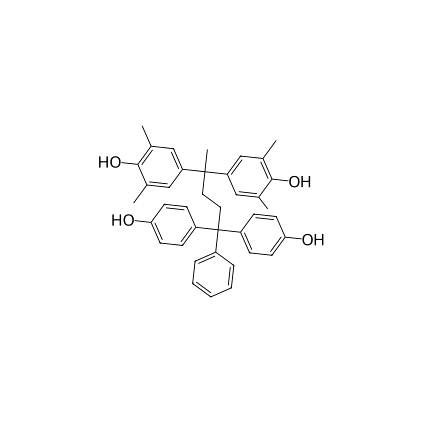 Cc1cc(C(C)(CCC(c2ccccc2)(c2ccc(O)cc2)c2ccc(O)cc2)c2cc(C)c(O)c(C)c2)cc(C)c1O